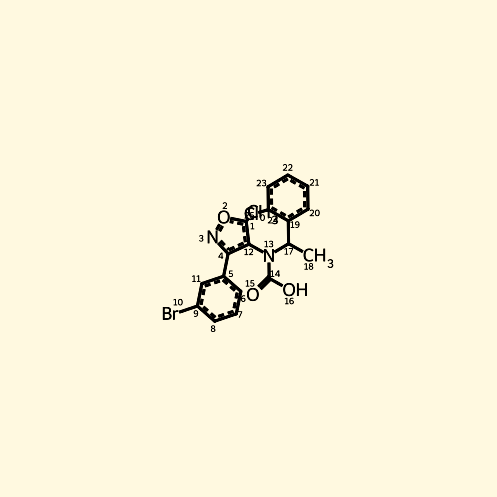 Cc1onc(-c2cccc(Br)c2)c1N(C(=O)O)C(C)c1ccccc1Cl